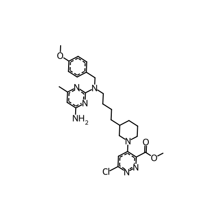 COC(=O)c1nnc(Cl)cc1N1CCCC(CCCCN(Cc2ccc(OC)cc2)c2nc(C)cc(N)n2)C1